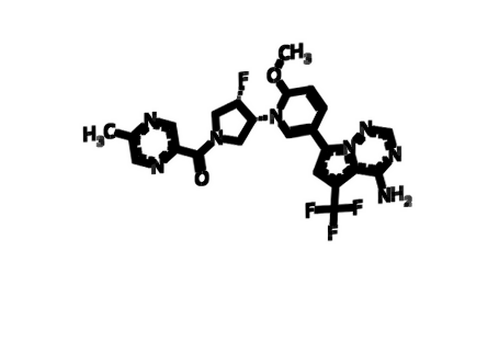 COC1C=CC(c2cc(C(F)(F)F)c3c(N)ncnn23)=CN1[C@@H]1CN(C(=O)c2cnc(C)cn2)C[C@@H]1F